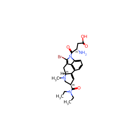 CCN(CC)C(=O)[C@@H]1C=C2c3cccc4c3c(c(Br)n4C(=O)[C@@H](N)CC(=O)O)C[C@H]2N(C)C1